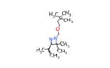 C=C(C)C1=NN(COCC[Si](C)(C)C)C1(C)C